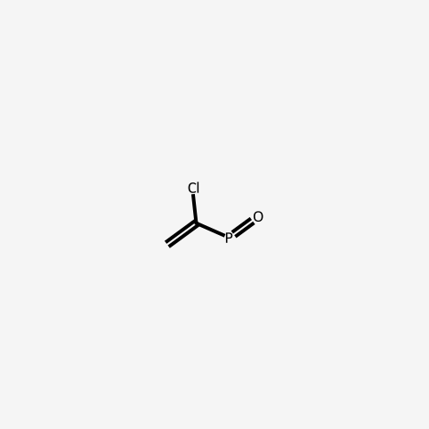 C=C(Cl)P=O